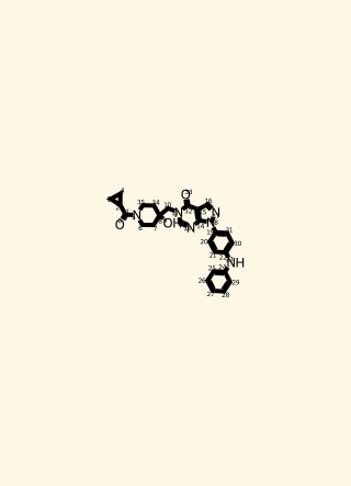 O=C(C1CC1)N1CCC(O)(Cn2cnc3c(cnn3-c3ccc(Nc4ccccc4)cc3)c2=O)CC1